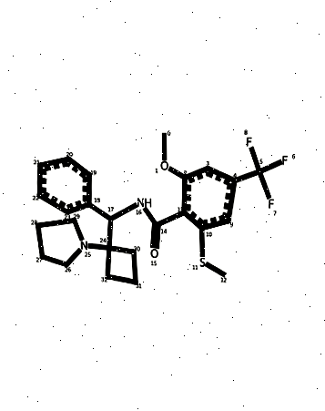 COc1cc(C(F)(F)F)cc(SC)c1C(=O)NC(c1ccccc1)C1(N2CCCC2)CCC1